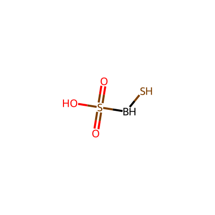 O=S(=O)(O)BS